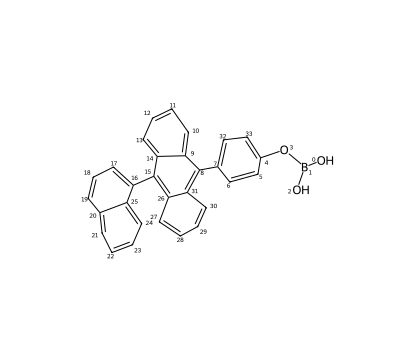 OB(O)Oc1ccc(-c2c3ccccc3c(-c3cccc4ccccc34)c3ccccc23)cc1